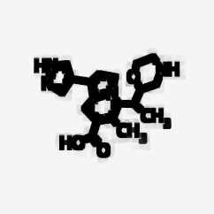 Cc1c(C(=O)O)cc2c(-c3cn[nH]c3)ccn2c1C(C)C1CNCCO1